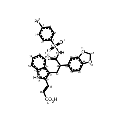 CC(C)c1ccc(S(=O)(=O)NC(=O)C(Cc2c(/C=C/C(=O)O)[nH]c3ccccc23)c2ccc3c(c2)OCO3)cc1